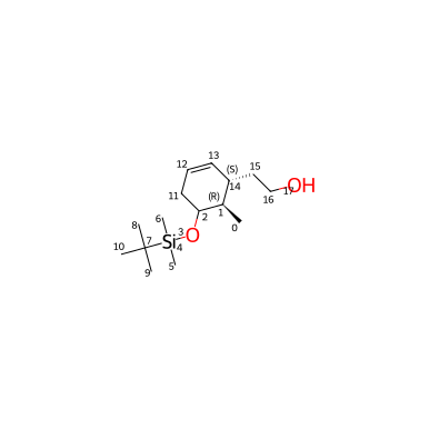 C[C@H]1C(O[Si](C)(C)C(C)(C)C)CC=C[C@@H]1CCO